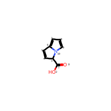 O=C(O)C1C=Cc2cccn21